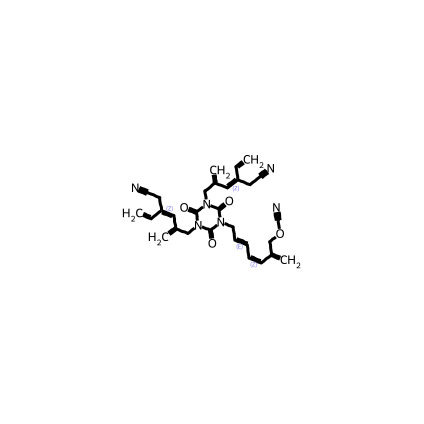 C=C/C(=C\C(=C)Cn1c(=O)n(C/C=C/C=C\C(=C)COC#N)c(=O)n(CC(=C)/C=C(\C=C)CC#N)c1=O)CC#N